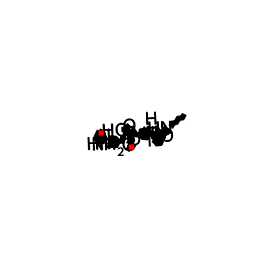 CCCCCCNC(=O)Nc1cccnc1Nc1ccc(CCN(C(=O)O)N(CCc2ccc(Nc3ncccc3N)cc2)C(=O)OC(C)(C)C)cc1